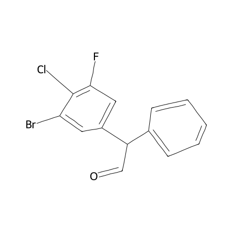 O=CC(c1ccccc1)c1cc(F)c(Cl)c(Br)c1